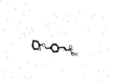 O=[N+](O)/C=C/c1ccc(COc2ccccn2)cc1